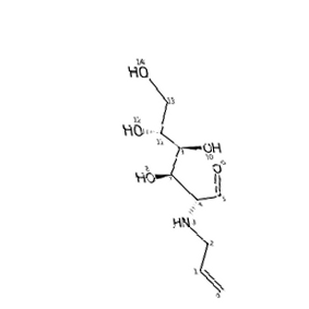 C=CCN[C@@H](C=O)[C@@H](O)[C@H](O)[C@H](O)CO